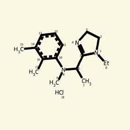 CCN1CCN=C1C(C)N(C)c1cccc(C)c1C.Cl